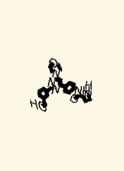 O=C(Nc1ccc(-c2cc(N3CCOCC3)nc(-c3cccc(CO)c3)n2)cc1)C1CCN1